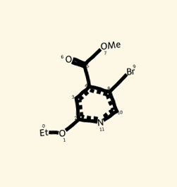 CCOc1cc(C(=O)OC)c(Br)cn1